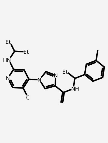 C=C(NC(CC)c1cccc(C)c1)c1cn(-c2cc(NC(CC)CC)ncc2Cl)cn1